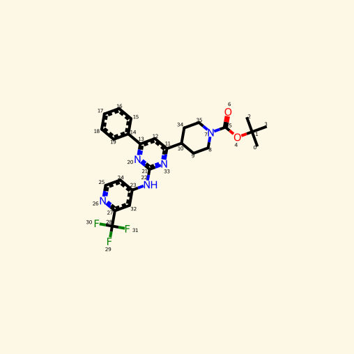 CC(C)(C)OC(=O)N1CCC(c2cc(-c3ccccc3)nc(Nc3ccnc(C(F)(F)F)c3)n2)CC1